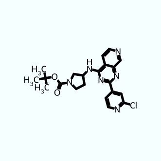 CC(C)(C)OC(=O)N1CCC(Nc2nc(-c3ccnc(Cl)c3)nc3cnccc23)C1